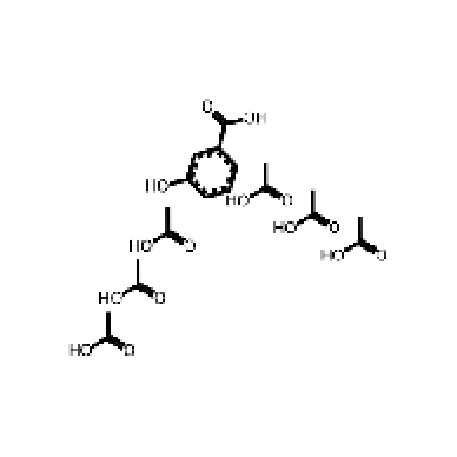 CC(=O)O.CC(=O)O.CC(=O)O.CC(=O)O.CC(=O)O.CC(=O)O.O=C(O)c1cccc(O)c1